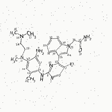 CCc1cnc(Nc2cc(N)c(N(C)CCN(C)C)cc2C)nc1-c1cn(CC(N)=O)c2ccccc12